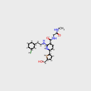 CNC(=O)CNC(=O)c1ccc(-c2ccc(CO)s2)nc1NCCc1cccc(F)c1